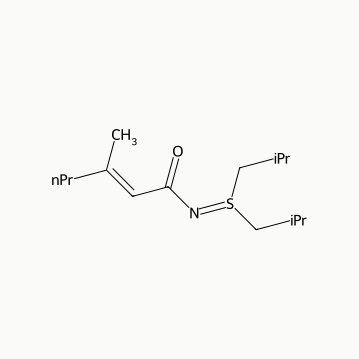 CCC/C(C)=C/C(=O)N=S(CC(C)C)CC(C)C